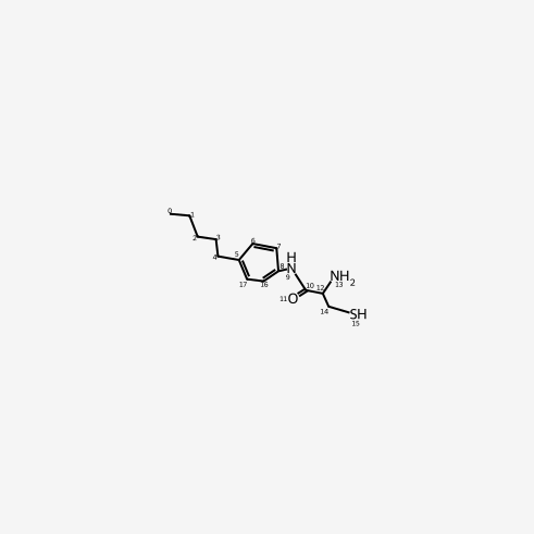 CCCCCc1ccc(NC(=O)C(N)CS)cc1